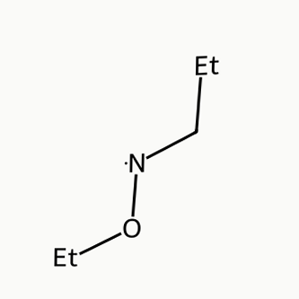 CCC[N]OCC